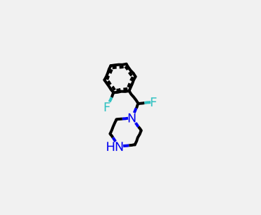 Fc1ccccc1C(F)N1CCNCC1